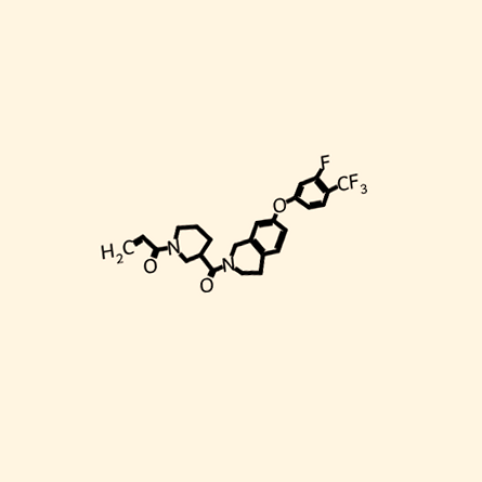 C=CC(=O)N1CCCC(C(=O)N2CCc3ccc(Oc4ccc(C(F)(F)F)c(F)c4)cc3C2)C1